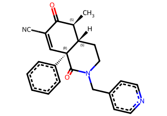 C[C@@H]1C(=O)C(C#N)=C[C@]2(c3ccccc3)C(=O)N(Cc3ccncc3)CC[C@@H]12